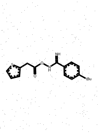 CC(C)(C)c1ccc(C(=N)NOC(=O)Cc2cccs2)cc1